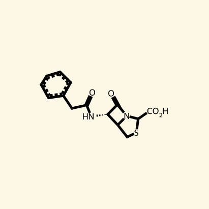 O=C(Cc1ccccc1)N[C@@H]1C(=O)N2C(C(=O)O)SCC12